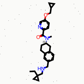 CCC1(CNCc2ccc3c(c2)CC[C@H](N(C)C(=O)c2ccc(OCC4CC4)cn2)C3)CC1